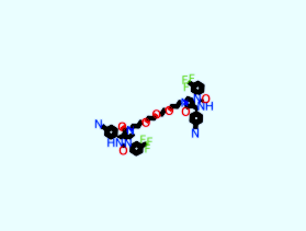 N#Cc1ccc([C@H]2NC(=O)N(c3cccc(C(F)(F)F)c3)C3=C2C(=O)N(CCCOCCOCCOCCCN2CC4=C(C2=O)[C@@H](c2ccc(C#N)cc2)NC(=O)N4c2cccc(C(F)(F)F)c2)C3)cc1